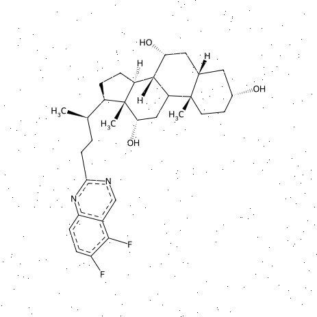 C[C@H](CCc1ncc2c(F)c(F)ccc2n1)[C@H]1CC[C@H]2[C@H]3C(C[C@H](O)[C@]12C)[C@@]1(C)CC[C@@H](O)C[C@H]1C[C@H]3O